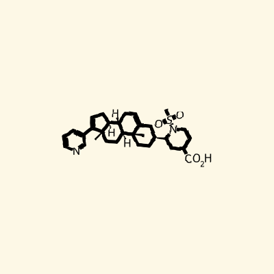 C[C@]12CC[C@H](C3CC(C(=O)O)CCN3S(C)(=O)=O)CC1=CC[C@@H]1[C@@H]2CC[C@]2(C)C(c3cccnc3)=CC[C@@H]12